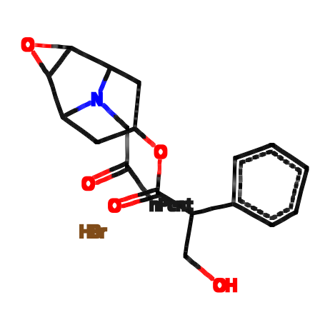 Br.CCCCCC(=O)CN1C2CC(OC(=O)C(CO)c3ccccc3)CC1C1OC12